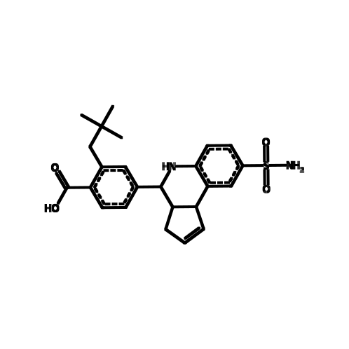 CC(C)(C)Cc1cc(C2Nc3ccc(S(N)(=O)=O)cc3C3C=CCC32)ccc1C(=O)O